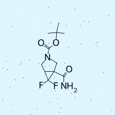 CC(C)(C)OC(=O)N1CC2C(F)(F)C2(C(N)=O)C1